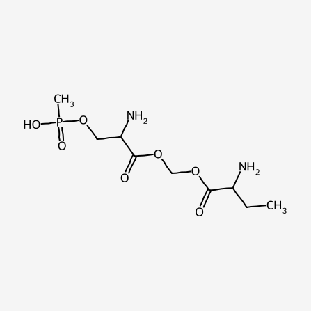 CCC(N)C(=O)OCOC(=O)C(N)COP(C)(=O)O